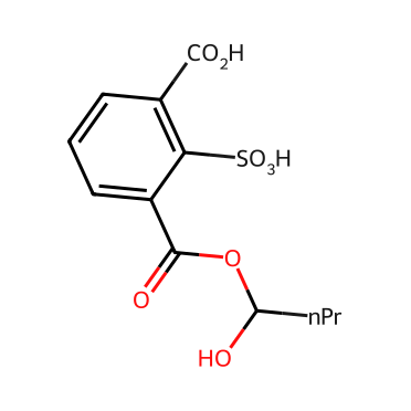 CCCC(O)OC(=O)c1cccc(C(=O)O)c1S(=O)(=O)O